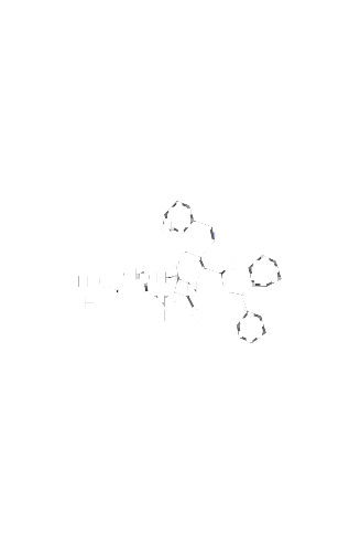 CC(C)(C)OC(=O)N[C@@H]1C(=O)N2C(C(=O)OC(c3ccccc3)c3ccccc3)=C(/C=C\c3cccnc3)CS[C@@H]12